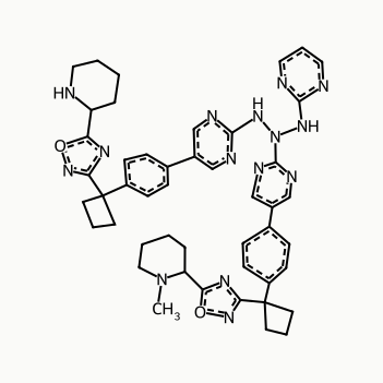 CN1CCCCC1c1nc(C2(c3ccc(-c4cnc(N(Nc5ncccn5)Nc5ncc(-c6ccc(C7(c8noc(C9CCCCN9)n8)CCC7)cc6)cn5)nc4)cc3)CCC2)no1